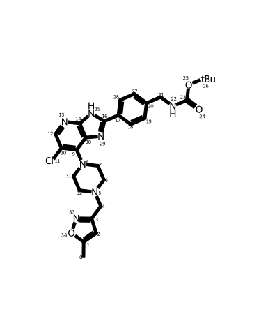 Cc1cc(CN2CCN(c3c(Cl)cnc4[nH]c(-c5ccc(CNC(=O)OC(C)(C)C)cc5)nc34)CC2)no1